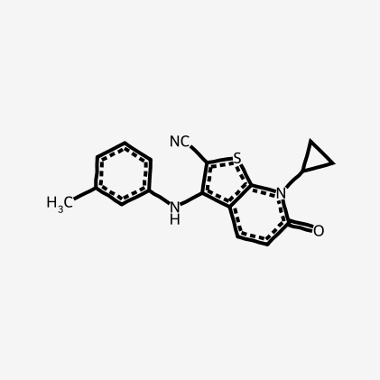 Cc1cccc(Nc2c(C#N)sc3c2ccc(=O)n3C2CC2)c1